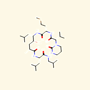 CSCC[C@H](NC(=O)[C@H](C(C)C)N1CCCNC1=O)C(=O)N[C@@H](CC(C)C)[C@@H](O)C[C@@H](C)C(=O)N[C@@H](CC(C)C)C(=O)NCC(C)C